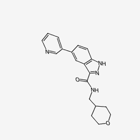 O=C(NCC1CCOCC1)c1n[nH]c2ccc(-c3cccnc3)cc12